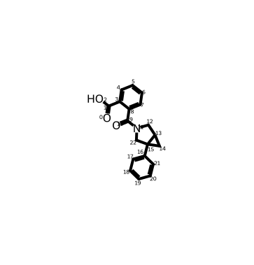 O=C(O)c1ccccc1C(=O)N1CC2CC2(c2ccccc2)C1